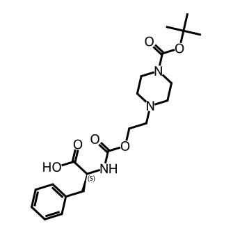 CC(C)(C)OC(=O)N1CCN(CCOC(=O)N[C@@H](Cc2ccccc2)C(=O)O)CC1